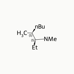 CCCC[C@H](C)[C@H](CC)NC